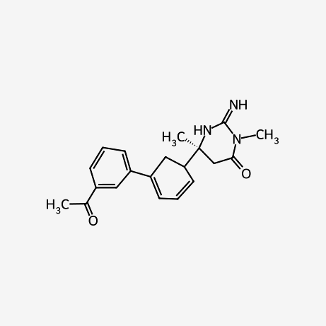 CC(=O)c1cccc(C2=CC=CC([C@]3(C)CC(=O)N(C)C(=N)N3)C2)c1